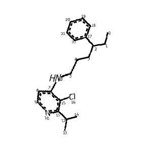 CCC(CCCNc1ccnc(C(C)C)c1Cl)c1ccccc1